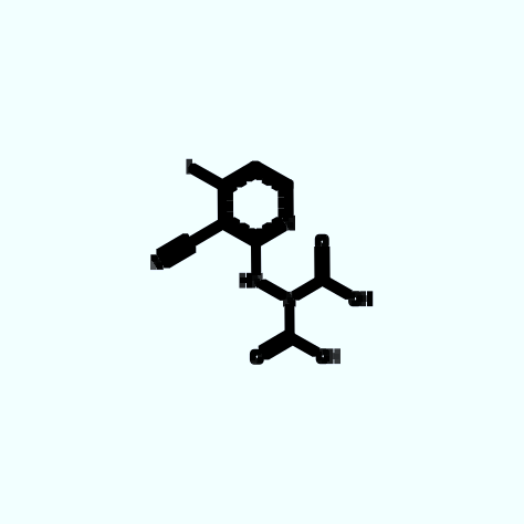 N#Cc1c(I)ccnc1NN(C(=O)O)C(=O)O